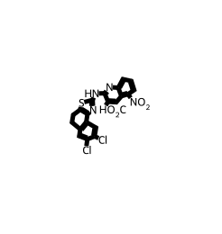 O=C(O)c1cc2c([N+](=O)[O-])cccc2nc1Nc1nc2c(s1)CCc1cc(Cl)c(Cl)cc1-2